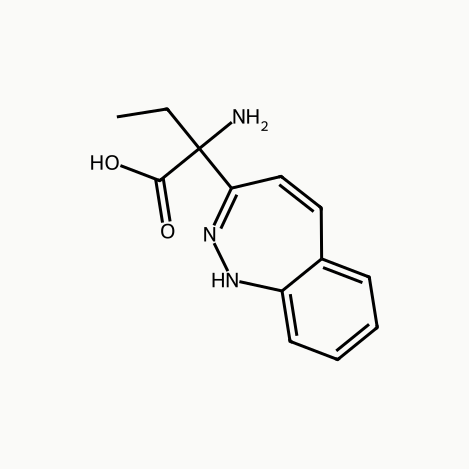 CCC(N)(C(=O)O)C1=NNc2ccccc2C=C1